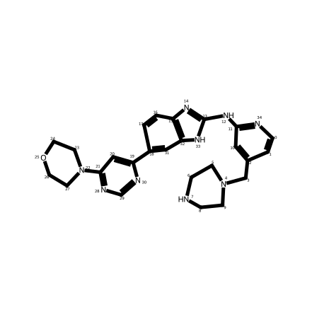 c1cc(CN2CCNCC2)cc(Nc2nc3ccc(-c4cc(N5CCOCC5)ncn4)cc3[nH]2)n1